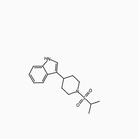 CC(C)S(=O)(=O)N1CCC(c2c[nH]c3ccccc23)CC1